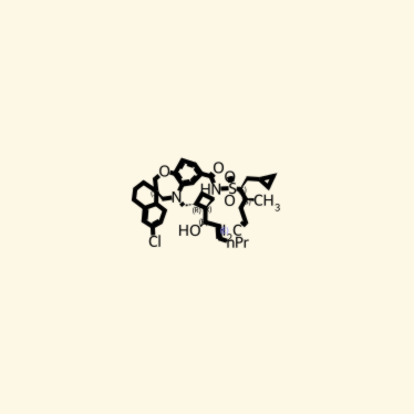 C=CC[C@H](C)[C@H](CC1CC1)S(=O)(=O)NC(=O)c1ccc2c(c1)N(C[C@@H]1CC[C@H]1[C@@H](O)/C=C/CCC)C[C@@]1(CCCC3=CC(Cl)=CCC31)CO2